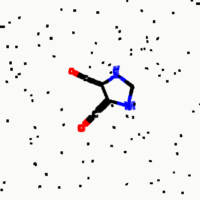 O=C=C1NCNC1=C=O